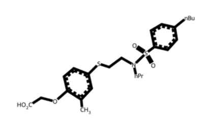 CCCCc1ccc(S(=O)(=O)N(CCC)CCSc2ccc(OCC(=O)O)c(C)c2)cc1